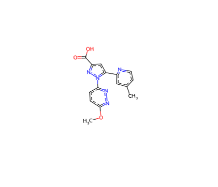 COc1ccc(-n2nc(C(=O)O)cc2-c2cc(C)ccn2)nn1